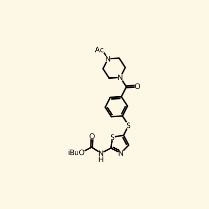 CC(=O)N1CCN(C(=O)c2cccc(Sc3cnc(NC(=O)OCC(C)C)s3)c2)CC1